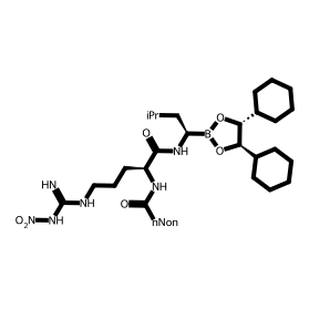 CCCCCCCCCC(=O)N[C@@H](CCCNC(=N)N[N+](=O)[O-])C(=O)N[C@@H](CC(C)C)B1O[C@H](C2CCCCC2)[C@@H](C2CCCCC2)O1